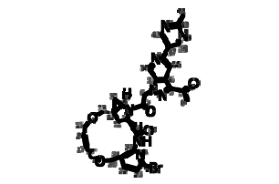 CC(=O)c1nn(CC(=O)N2[C@H]3C[C@@]4(COC/C=C\COCc5ccc(Br)nc5NC3=O)C[C@@H]24)c2cnc(-c3cnc(C)nc3)cc12